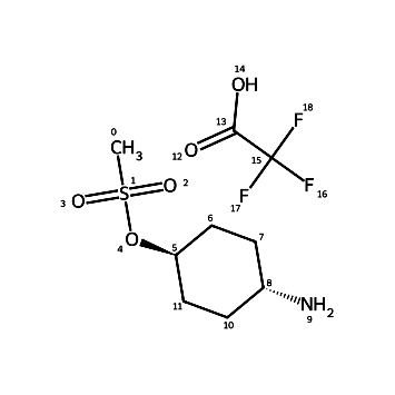 CS(=O)(=O)O[C@H]1CC[C@H](N)CC1.O=C(O)C(F)(F)F